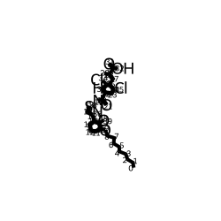 CCCCCCCCCOc1cccc(-c2csc(NC(=O)c3cc(Cl)c(/C=C(\C)C(=O)O)c(Cl)c3)n2)c1OC